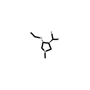 CCO[C@H]1CN(C)C[C@@H]1C(F)F